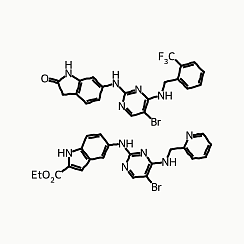 CCOC(=O)c1cc2cc(Nc3ncc(Br)c(NCc4ccccn4)n3)ccc2[nH]1.O=C1Cc2ccc(Nc3ncc(Br)c(NCc4ccccc4C(F)(F)F)n3)cc2N1